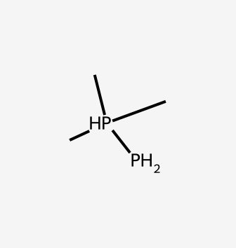 C[PH](C)(C)P